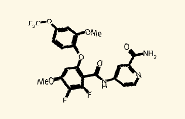 COc1cc(OC(F)(F)F)ccc1Oc1cc(OC)c(F)c(F)c1C(=O)Nc1ccnc(C(N)=O)c1